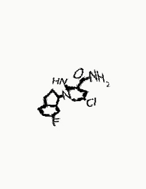 N=c1c(C(N)=O)cc(Cl)cn1C1CCc2ccc(F)cc21